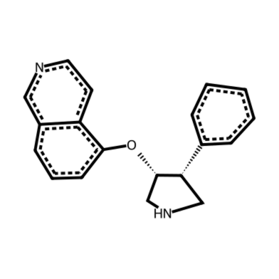 c1ccc([C@@H]2CNC[C@@H]2Oc2cccc3cnccc23)cc1